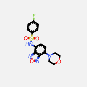 O=S(=O)(Nc1ccc(N2CCOCC2)c2nonc12)c1ccc(F)cc1